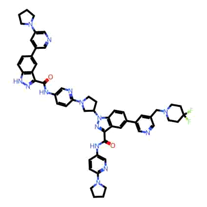 O=C(Nc1ccc(N2CCC(n3nc(C(=O)Nc4ccc(N5CCCC5)nc4)c4cc(-c5cncc(CN6CCC(F)(F)CC6)c5)ccc43)C2)nc1)c1n[nH]c2ccc(-c3cncc(N4CCCC4)c3)cc12